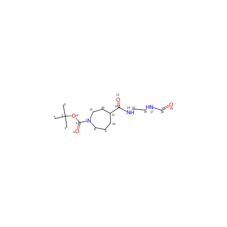 CC(C)(C)OC(=O)N1CCCC(C(=O)NCCNC=O)CC1